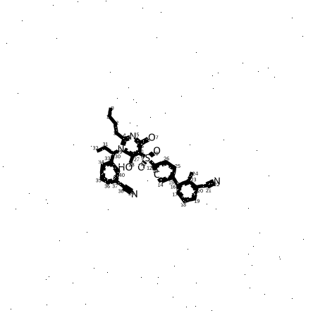 CCCCc1nc(=O)c(S(=O)(=O)c2ccc(-c3cccc(C#N)c3C)cc2)c(O)n1C(CC)c1cccc(C#N)c1